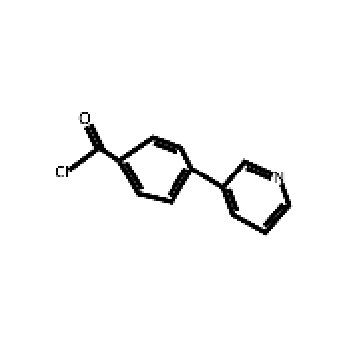 O=C(Cl)c1ccc(-c2cccnc2)cc1